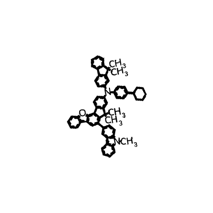 Cn1c2ccccc2c2cc(-c3cc4c(oc5ccccc54)c4c3C(C)(C)c3cc(N(c5ccc(C6CCCCC6)cc5)c5ccc6c(c5)C(C)(C)c5ccccc5-6)ccc3-4)ccc21